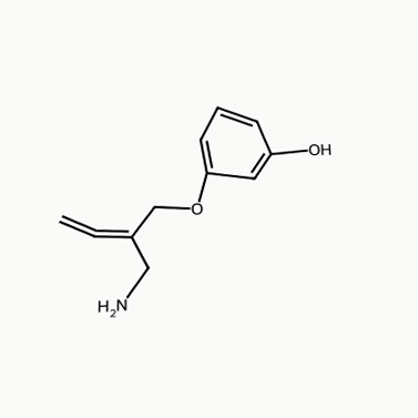 C=C=C(CN)COc1cccc(O)c1